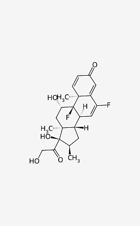 C[C@@H]1C[C@H]2[C@@H]3C=C(F)C4=CC(=O)C=C[C@]4(C)[C@@]3(F)[C@@H](O)C[C@]2(C)[C@@]1(O)C(=O)CO